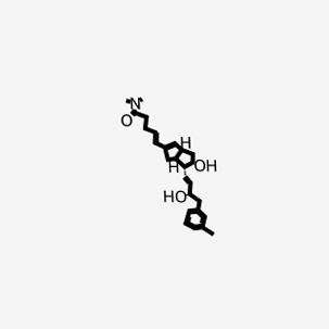 Cc1cccc(C[C@H](O)/C=C/[C@@H]2[C@H]3CC(/C=C/CCC(=O)N(C)C)=C[C@H]3C[C@H]2O)c1